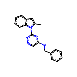 Cc1cc2ccccc2n1-c1nncc(NCc2ccccc2)n1